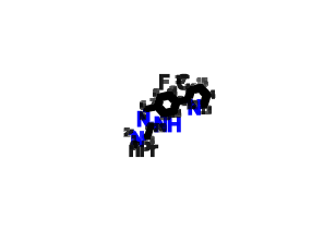 CCCN(C)CC1=N[CH]c2ccc(-c3ncccc3C(F)(F)F)cc2N1